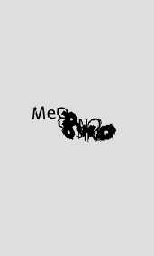 COc1ccc(-c2nc(C(=O)Nc3ccccc3)cs2)c2c1oc1ccccc12